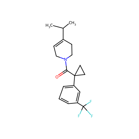 CC(C)C1=CCN(C(=O)C2(c3cccc(C(F)(F)F)c3)CC2)CC1